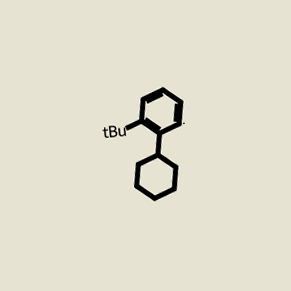 CC(C)(C)c1ccc[c]c1C1CCCCC1